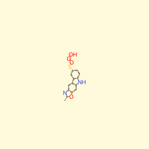 Cc1nc2cc3c(cc2o1)[nH]c1ccc(SOOO)cc13